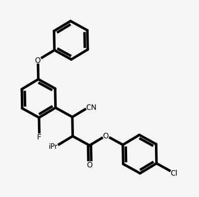 CC(C)C(C(=O)Oc1ccc(Cl)cc1)C(C#N)c1cc(Oc2ccccc2)ccc1F